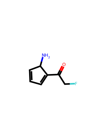 NC1C=CC=C1C(=O)CF